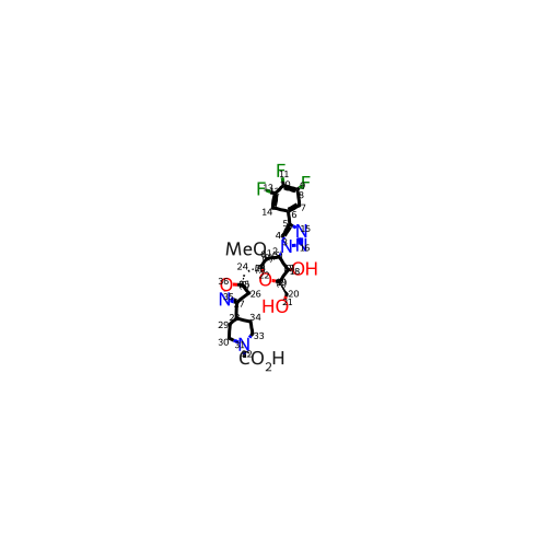 CO[C@@H]1[C@@H](n2cc(-c3cc(F)c(F)c(F)c3)nn2)[C@@H](O)[C@@H](CO)O[C@@H]1C[C@@H]1CC(C2CCN(C(=O)O)CC2)=NO1